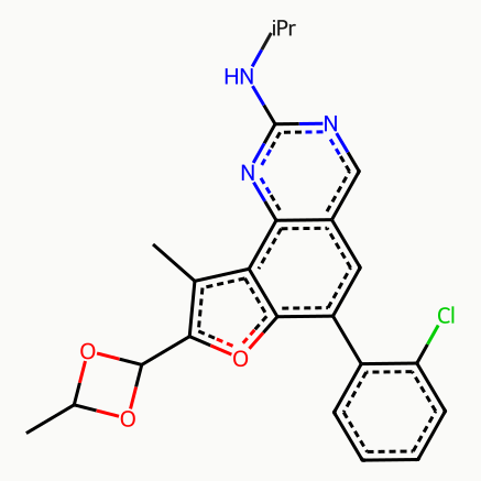 Cc1c(C2OC(C)O2)oc2c(-c3ccccc3Cl)cc3cnc(NC(C)C)nc3c12